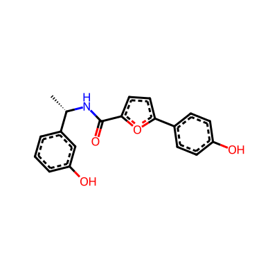 C[C@H](NC(=O)c1ccc(-c2ccc(O)cc2)o1)c1cccc(O)c1